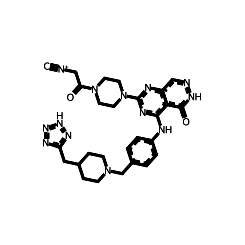 [C-]#[N+]CC(=O)N1CCN(c2nc(Nc3ccc(CN4CCC(Cc5nn[nH]n5)CC4)cc3)c3c(=O)[nH]ncc3n2)CC1